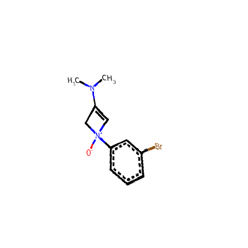 CN(C)C1=C[N+]([O-])(c2cccc(Br)c2)C1